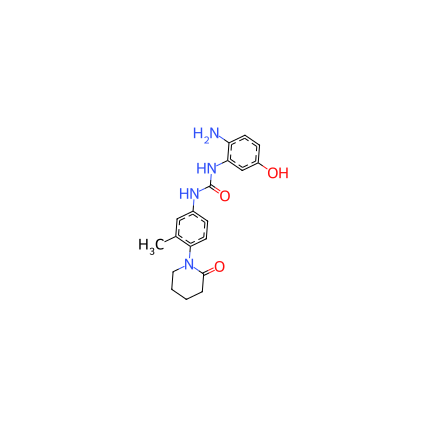 Cc1cc(NC(=O)Nc2cc(O)ccc2N)ccc1N1CCCCC1=O